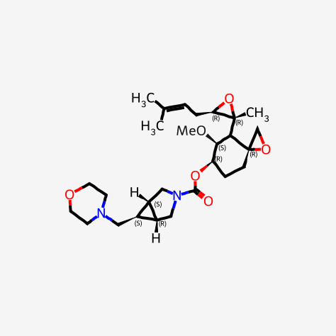 CO[C@H]1C([C@@]2(C)O[C@@H]2CC=C(C)C)[C@]2(CC[C@H]1OC(=O)N1C[C@@H]3[C@@H](CN4CCOCC4)[C@@H]3C1)CO2